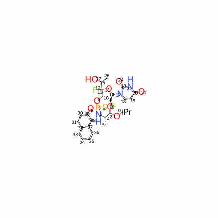 CC(C)OC(=O)[C@H](C)NP(=S)(OC[C@@](F)(O[C@H](CF)n1ccc(=O)[nH]c1=O)[C@H](C)O)Oc1ccc2ccccc2c1